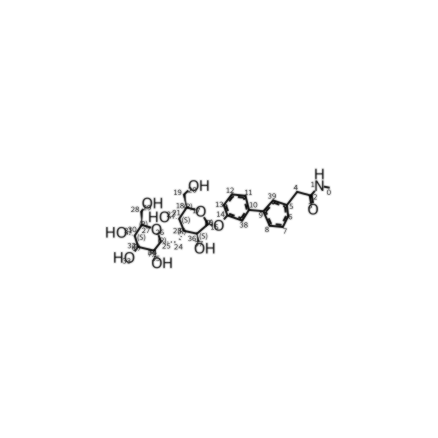 CNC(=O)Cc1cccc(-c2cccc(O[C@H]3O[C@H](CO)[C@@H](O)[C@@H](C[C@H]4O[C@H](CO)[C@@H](O)[C@H](O)[C@H]4O)[C@@H]3O)c2)c1